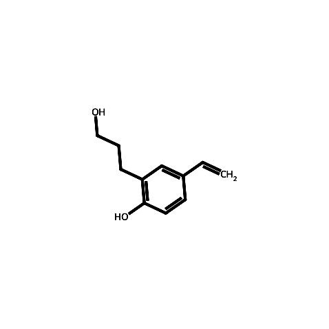 C=Cc1ccc(O)c(CCCO)c1